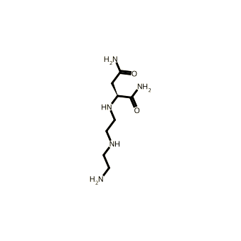 NCCNCCN[C@@H](CC(N)=O)C(N)=O